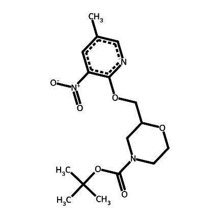 Cc1cnc(OCC2CN(C(=O)OC(C)(C)C)CCO2)c([N+](=O)[O-])c1